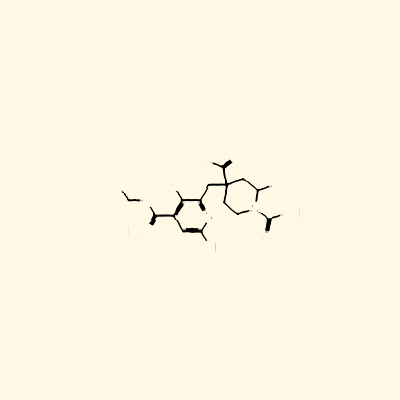 C=C(OCC)c1cc(Cl)nc(CC2(C(=O)O)CCN(C(=O)O)C(C)C2)c1F